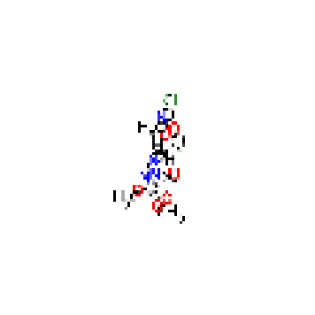 COC(=O)c1cc(OC)c2nc(CN3C[C@@H]4C(c5c(F)ccc6c5OC(C)(c5ccc(Cl)cn5)O6)[C@@H]4C3)n(C[C@@H]3CCO3)c2c1